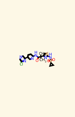 CC(C)(C(=O)Nc1ccc(-c2cncc(Cl)n2)cn1)c1csc(NS(=O)(=O)C2CC2)n1